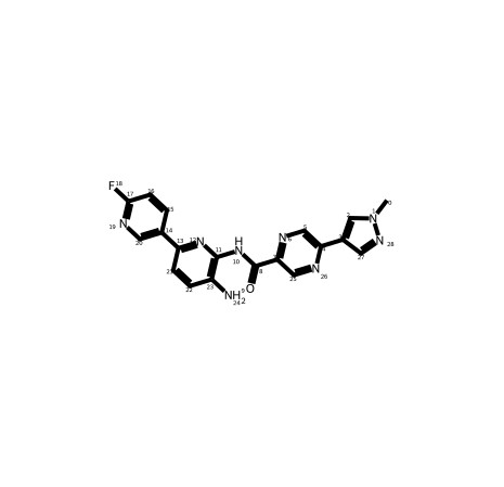 Cn1cc(-c2cnc(C(=O)Nc3nc(-c4ccc(F)nc4)ccc3N)cn2)cn1